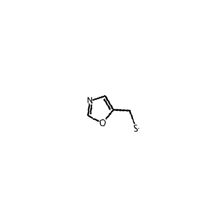 [S]Cc1cnco1